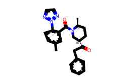 Cc1ccc(-n2nccn2)c(C(=O)N2C[C@@H](C(=O)Cc3ccccc3)CC[C@@H]2C)c1